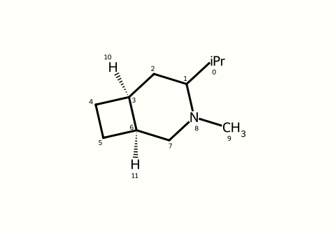 CC(C)C1C[C@@H]2CC[C@@H]2CN1C